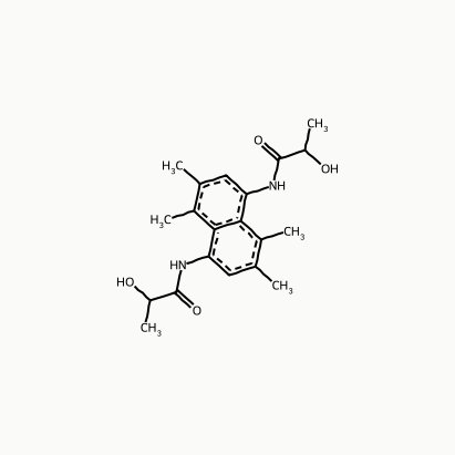 Cc1cc(NC(=O)C(C)O)c2c(C)c(C)cc(NC(=O)C(C)O)c2c1C